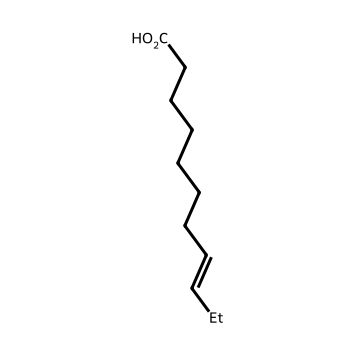 CCC=CCCCCCCC(=O)O